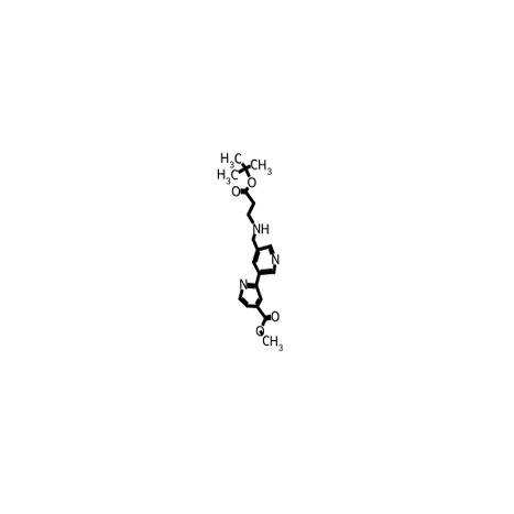 COC(=O)c1ccnc(-c2cncc(CNCCC(=O)OC(C)(C)C)c2)c1